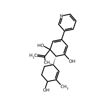 C=C(C)C1(O)C=C(c2cccnc2)C=C(O)[C@@H]1C1C=C(C)C(O)CC1